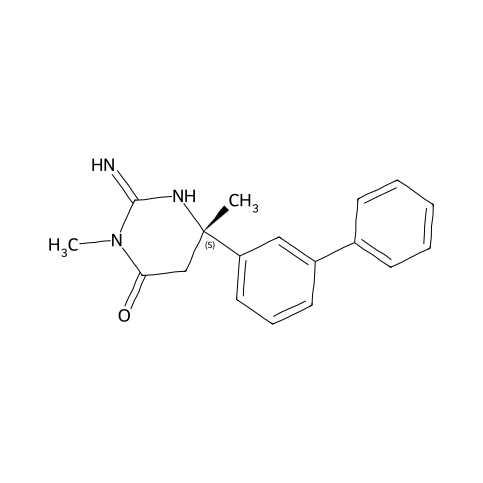 CN1C(=N)N[C@](C)(c2cccc(-c3ccccc3)c2)CC1=O